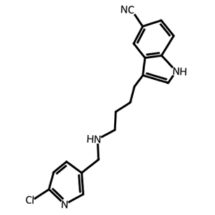 N#Cc1ccc2[nH]cc(CCCCNCc3ccc(Cl)nc3)c2c1